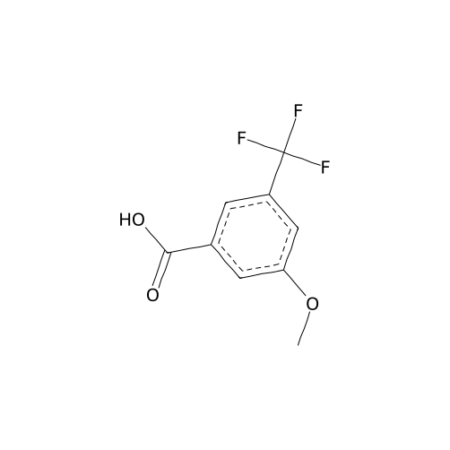 COc1cc(C(=O)O)cc(C(F)(F)F)c1